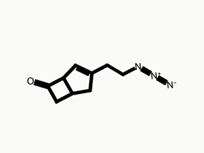 [N-]=[N+]=NCCC1=CC2C(=O)CC2C1